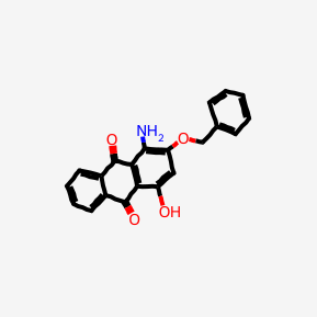 Nc1c(OCc2ccccc2)cc(O)c2c1C(=O)c1ccccc1C2=O